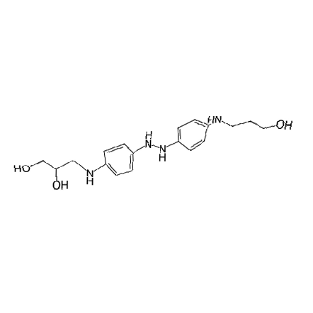 OCCCNc1ccc(NNc2ccc(NCC(O)CO)cc2)cc1